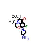 CC1CCOc2c(N3CCC(N)CC3)c(F)cc3c(=O)c(C(=O)O)cn1c23